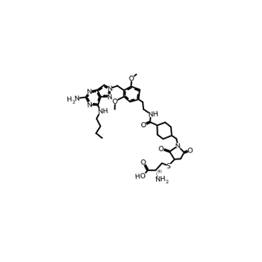 CCCCNc1nc(N)nc2cn(Cc3c(OC)cc(CCNC(=O)C4CCC(CN5C(=O)CC(SC[C@H](N)C(=O)O)C5=O)CC4)cc3OC)nc12